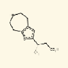 O=C(O)C[C@@H](c1cc2c(s1)CCNCC2)C(F)(F)F